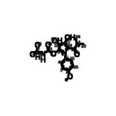 COc1ccc(-n2c(OC(=O)N[SH](=O)=O)c(O)c(O)c2C(=O)N(C)C)cc1